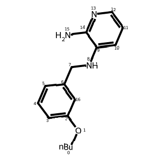 CCCCOc1cccc(CNc2cccnc2N)c1